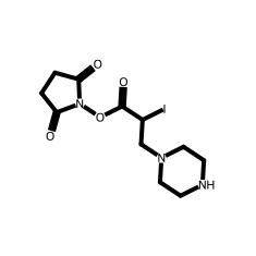 O=C(ON1C(=O)CCC1=O)C(I)CN1CCNCC1